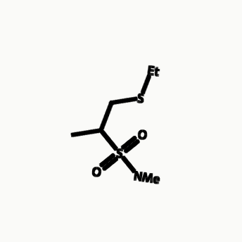 CCSCC(C)S(=O)(=O)NC